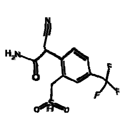 N#CC(C(N)=O)c1ccc(C(F)(F)F)cc1C[SH](=O)=O